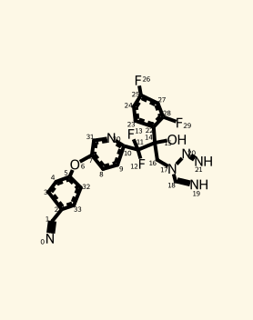 N#Cc1ccc(Oc2ccc(C(F)(F)C(O)(CN(C=N)N=N)c3ccc(F)cc3F)nc2)cc1